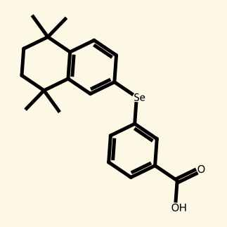 CC1(C)CCC(C)(C)c2cc([Se]c3cccc(C(=O)O)c3)ccc21